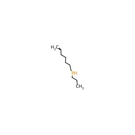 C=CCCCCCPCCC